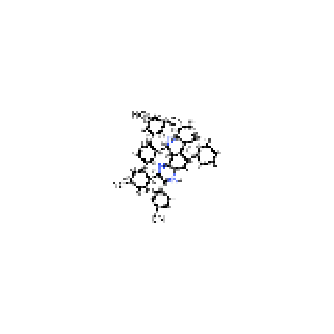 N#Cc1ccc(-c2nc3cc(-c4ccccc4)c4c5ccccc5nc(-c5ccccc5-c5cc(C#N)cc(C#N)c5)c4c3nc2-c2ccc(C#N)cc2)cc1